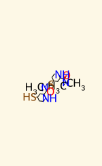 CN(C)C(=O)C1C[C@@H](SCN(C)C(=O)C2CC(S)CCN2)CCN1